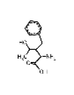 CC(O)C(Cc1ccccc1)[C@@H](N)C(=O)O